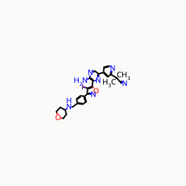 CC(C)(C#N)c1cc(-c2cnc(N)c(-c3onc(-c4ccc(CNC5CCOCC5)cc4)c3I)n2)ccn1